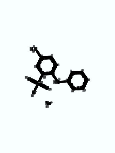 Nc1ccc(Nc2ccccc2)c(S(=O)(=O)[O-])c1.[Na+]